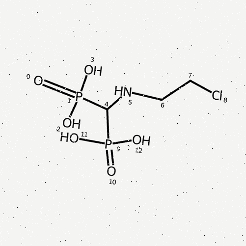 O=P(O)(O)C(NCCCl)P(=O)(O)O